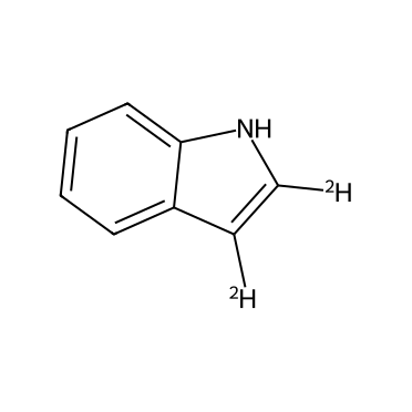 [2H]c1[nH]c2ccccc2c1[2H]